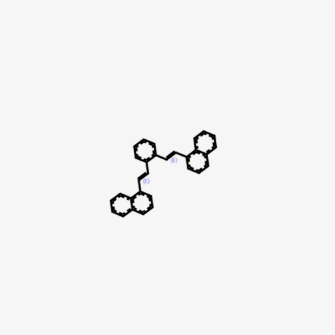 C(=C\c1cccc2ccccc12)/c1ccccc1/C=C/c1cccc2ccccc12